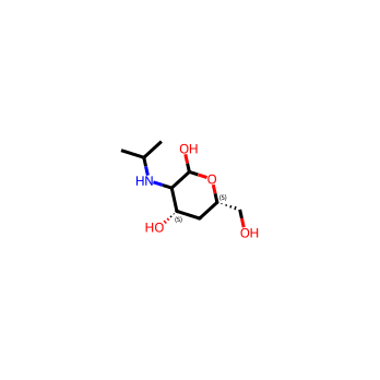 CC(C)NC1C(O)O[C@H](CO)C[C@@H]1O